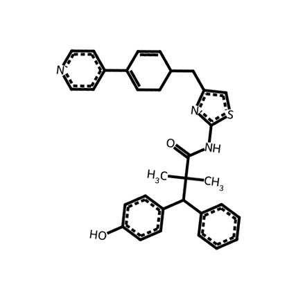 CC(C)(C(=O)Nc1nc(CC2C=CC(c3ccncc3)=CC2)cs1)C(c1ccccc1)c1ccc(O)cc1